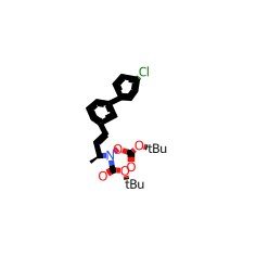 C[C@@H](C=Cc1cccc(-c2ccc(Cl)cc2)c1)N(OC(=O)OC(C)(C)C)C(=O)OC(C)(C)C